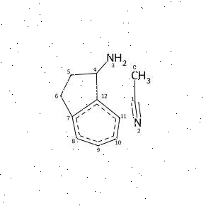 CC#N.NC1CCc2ccccc21